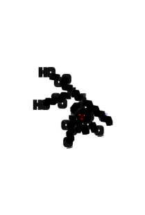 C=CC(C)CCCC(CC(CC/C=C/CC)CCSCCN(CCC(=O)OCCO)CCC(=O)OCCO)SCCN(CCC(=O)OCCOC)CCC(=O)OCCOC